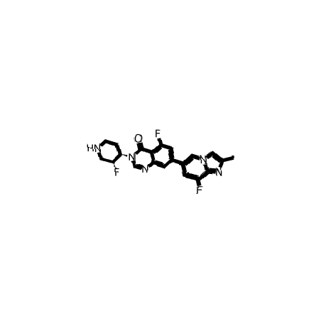 Cc1cn2cc(-c3cc(F)c4c(=O)n([C@H]5CCNC[C@H]5F)cnc4c3)cc(F)c2n1